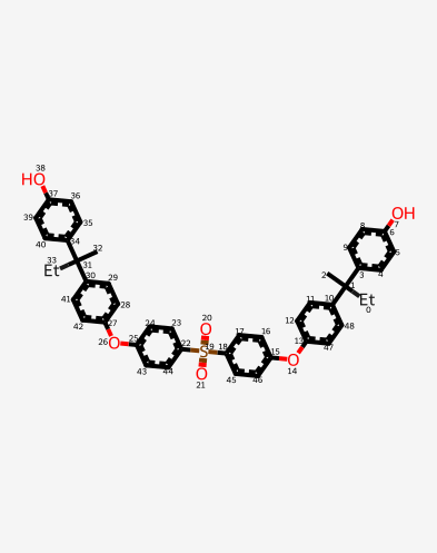 CCC(C)(c1ccc(O)cc1)c1ccc(Oc2ccc(S(=O)(=O)c3ccc(Oc4ccc(C(C)(CC)c5ccc(O)cc5)cc4)cc3)cc2)cc1